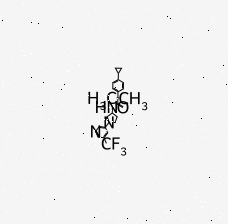 CC(C)(C(=O)NC1CCN(c2cncc(C(F)(F)F)c2)C1)c1ccc(C2CC2)cc1